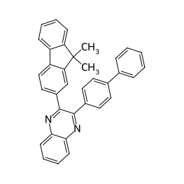 CC1(C)c2ccccc2-c2ccc(-c3nc4ccccc4nc3-c3ccc(-c4ccccc4)cc3)cc21